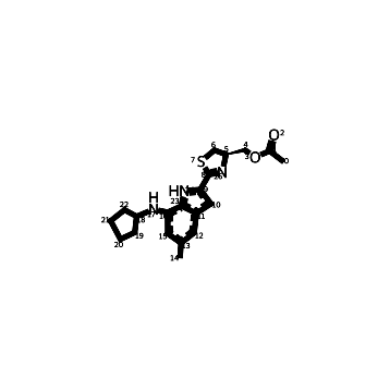 CC(=O)OC[C@@H]1CSC(c2cc3cc(C)cc(NC4CCCC4)c3[nH]2)=N1